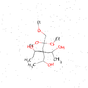 CCOCC(OCC)(OCC)C(C(C)O)(C(C)O)C(C)O